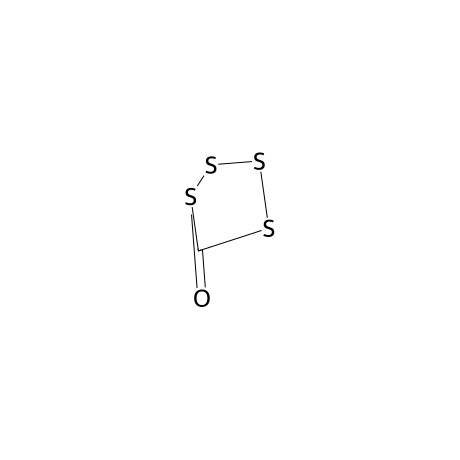 O=C1SSSS1